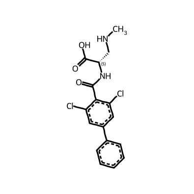 CNC[C@H](NC(=O)c1c(Cl)cc(-c2ccccc2)cc1Cl)C(=O)O